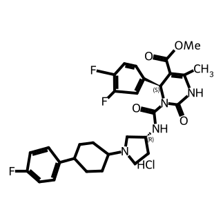 COC(=O)C1=C(C)NC(=O)N(C(=O)N[C@@H]2CCN(C3CCC(c4ccc(F)cc4)CC3)C2)[C@H]1c1ccc(F)c(F)c1.Cl